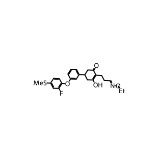 CCON=CCCC1=C(O)CC(c2cccc(Oc3ccc(SC)cc3F)c2)CC1=O